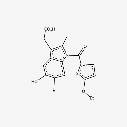 CCOc1ccc(C(=O)n2c(C)c(CC(=O)O)c3cc(O)c(F)cc32)s1